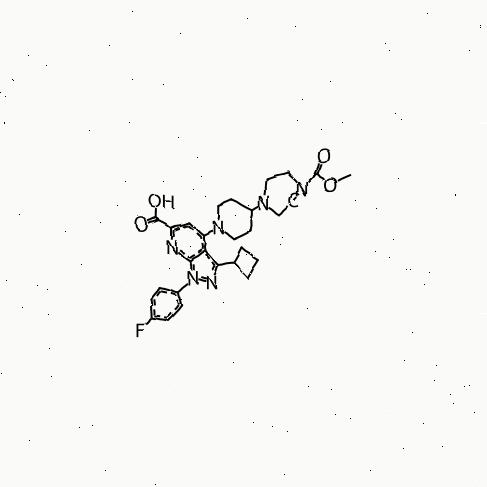 COC(=O)N1CCN(C2CCN(c3cc(C(=O)O)nc4c3c(C3CCC3)nn4-c3ccc(F)cc3)CC2)CC1